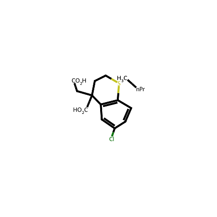 CCCC.O=C(O)CC1(C(=O)O)CCSc2ccc(Cl)cc21